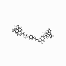 CN(CCCOc1ccc(CCNC[C@@H](O)c2ccc(O)c3[nH]c(=O)ccc23)cc1)C1CCC(OC(=O)C(O)(c2cccs2)c2cccs2)CC1